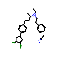 CC#N.CCN(CCc1ccccc1)C(C)CCc1ccc(C2CC(F)C(F)C2)cc1